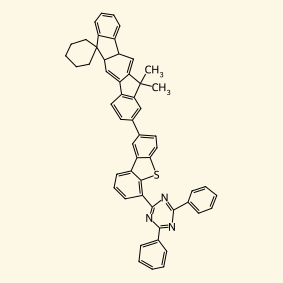 CC1(C)C2=CC3c4ccccc4C4(CCCCC4)C3C=C2c2ccc(-c3ccc4sc5c(-c6nc(-c7ccccc7)nc(-c7ccccc7)n6)cccc5c4c3)cc21